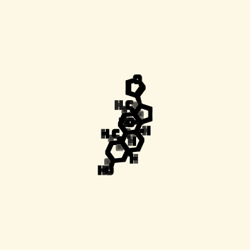 C[C@]12CC[C@H](O)C[C@H]1CC[C@@H]1[C@@H]2CC[C@]2(C)[C@@H](c3ccoc3)CC[C@]12O